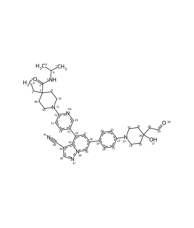 CCC1(C(=O)NC(C)C)CCN(c2ccc(-c3cc(-c4ccc(N5CCC(O)(CC=O)CC5)cc4)cn4ncc(C#N)c34)cn2)CC1